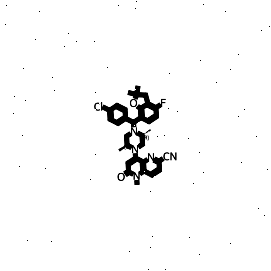 C[C@@H]1CN(c2cc(=O)n(C)c3ccc(C#N)nc23)[C@@H](C)CN1C(c1ccc(Cl)cc1)c1ccc(F)c2c1OC(C)(C)C2